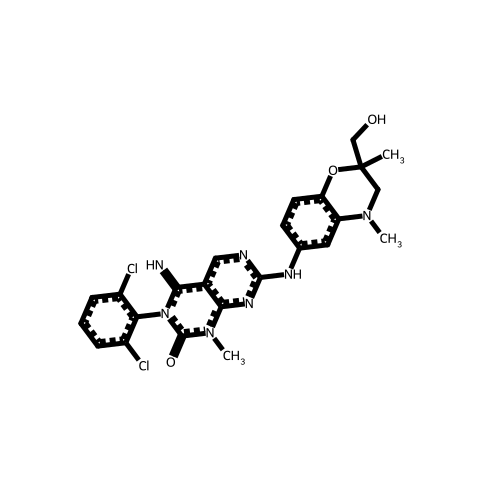 CN1CC(C)(CO)Oc2ccc(Nc3ncc4c(=N)n(-c5c(Cl)cccc5Cl)c(=O)n(C)c4n3)cc21